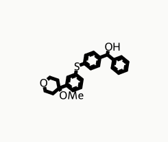 COC1(c2cccc(Sc3ccc(C(O)c4ccccc4)cc3)c2)CCOCC1